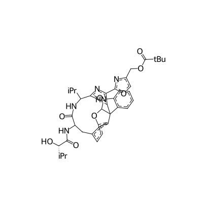 CC(C)C1NC(=O)C(NC(=O)[C@@H](O)C(C)C)Cc2ccc3c(c2)C2(c4ccccc4NC2O3)c2oc1nc2-c1nc(COC(=O)C(C)(C)C)co1